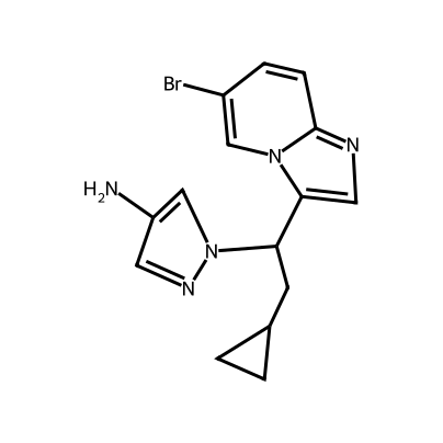 Nc1cnn(C(CC2CC2)c2cnc3ccc(Br)cn23)c1